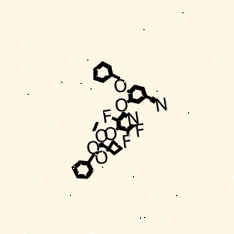 CCOC(=O)C1(OCc2ccccc2)CCC1Oc1c(F)c(F)nc(Oc2cc(C#N)ccc2OCc2ccccc2)c1F